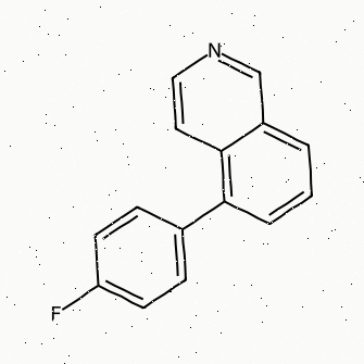 Fc1ccc(-c2cccc3cnccc23)cc1